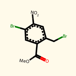 COC(=O)c1cc(Br)c([N+](=O)[O-])cc1CBr